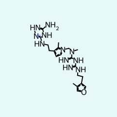 C/N=C(/NCCc1ccn(CN(C)C(=N)NC(=N)NCCc2cocc2C)c1C)NC(=N)N